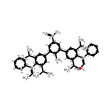 CC=[N+](c1ccccn1)c1c(C(C)C)cc(-c2cc([N+](=O)[O-])cc(-c3cc(C(C)C)c([N+](=CC)c4ccccn4)c(C(C)C)c3)c2C)cc1C(C)C